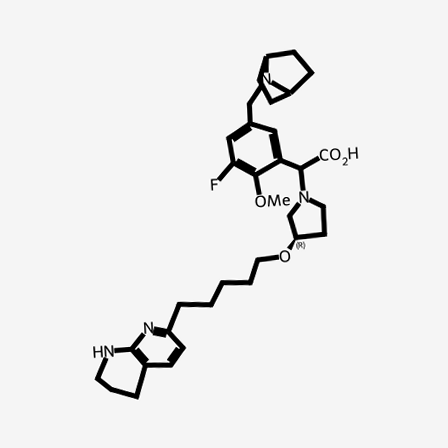 COc1c(F)cc(CN2C3CCC2CC3)cc1C(C(=O)O)N1CC[C@@H](OCCCCCc2ccc3c(n2)NCCC3)C1